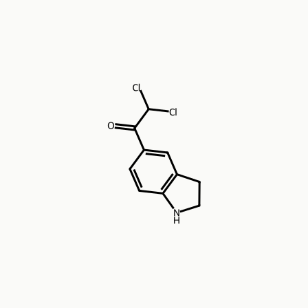 O=C(c1ccc2c(c1)CCN2)C(Cl)Cl